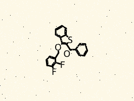 O=C(c1ccccc1)c1sc2ccccc2c1OCc1cccc(F)c1F